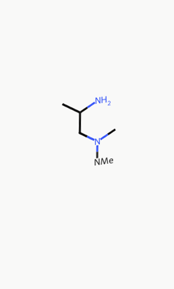 CNN(C)CC(C)N